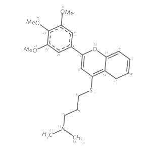 COc1cc(C2=CC(SCCCN(C)C)=C3CC=CC=C3O2)cc(OC)c1OC